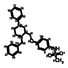 CS(=O)(=O)Nc1ccc(OCC2CN(c3ccccc3)CCN2Cc2ccccc2)cc1